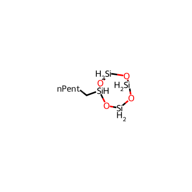 CCCCCC[SiH]1O[SiH2]O[SiH2]O[SiH2]O1